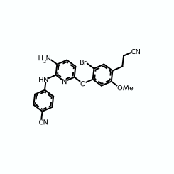 COc1cc(Oc2ccc(N)c(Nc3ccc(C#N)cc3)n2)c(Br)cc1CCC#N